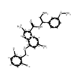 COc1cccc(C(CN)NC(=O)c2c(C)nc3c(OCc4c(F)cccc4F)cc(C)cn23)c1